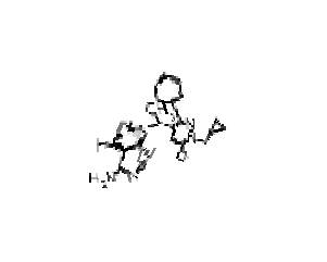 CC(c1cc(=O)n(CC2CC2)nc1-c1ccccc1)n1nc(I)c2c(N)ncnc21